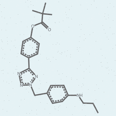 CCCNc1ccc(Cn2nnc(-c3ccc(OC(=O)C(C)(C)C)cc3)n2)cc1